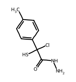 Cc1ccc(C(S)(Cl)C(=O)NN)cc1